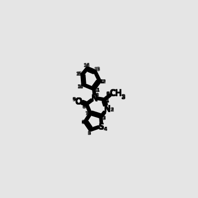 Cc1nc2sccc2c(=O)n1-c1ccccc1